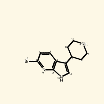 Brc1ccc2c(C3CCNCC3)c[nH]c2n1